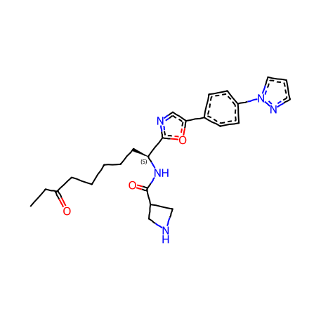 CCC(=O)CCCCC[C@H](NC(=O)C1CNC1)c1ncc(-c2ccc(-n3cccn3)cc2)o1